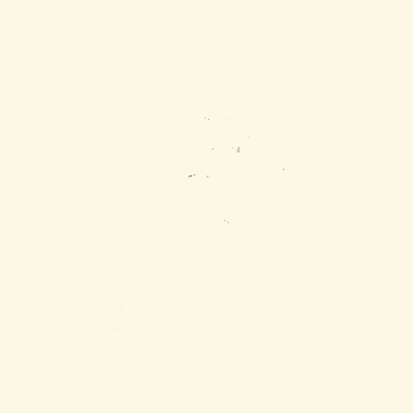 CC(C)(C)c1ccc(-c2ccc(CCC[C@H](CC(=O)NO)C(=O)N[C@@H](Cc3c[nH]c4ccccc34)C(=O)NCCc3ccccc3)cc2)cc1